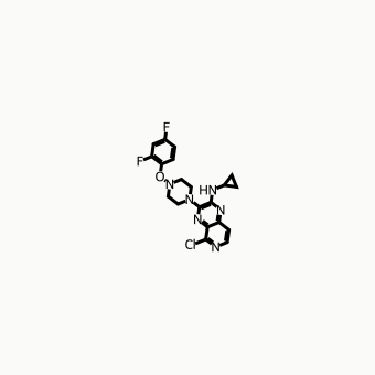 Fc1ccc(ON2CCN(c3nc4c(Cl)nccc4nc3NC3CC3)CC2)c(F)c1